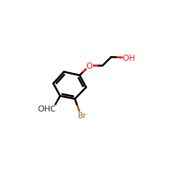 O=Cc1ccc(OCCO)cc1Br